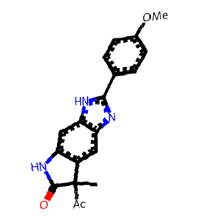 COc1ccc(-c2nc3cc4c(cc3[nH]2)NC(=O)C4(C)C(C)=O)cc1